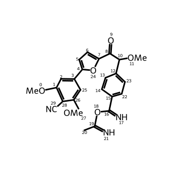 COc1cc(-c2ccc(C(=O)C(OC)c3ccc(C(=N)OC(C)=N)cc3)o2)cc(OC)c1C#N